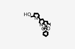 O=S(=O)(c1ccccc1)n1c(I)cc2cc(-c3cccc(CO)n3)cnc21